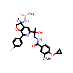 COc1cc(C(=O)NCC(C)(O)c2cc3c(c(-c4ccc(F)cc4)n2)OC[C@@]3(N[S@+]([O-])C(C)(C)C)C(F)(F)F)ccc1OC1CC1